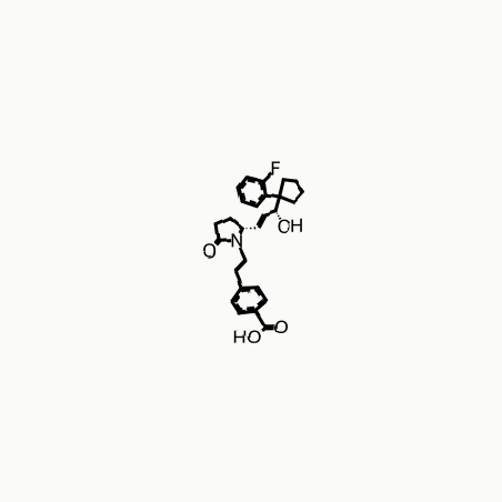 O=C(O)c1ccc(CCN2C(=O)CC[C@@H]2C=C[C@@H](O)C2(c3ccccc3F)CCCC2)cc1